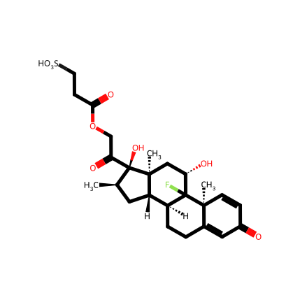 C[C@@H]1C[C@H]2[C@@H]3CCC4=CC(=O)C=C[C@]4(C)C3(F)[C@@H](O)C[C@]2(C)[C@@]1(O)C(=O)COC(=O)CCS(=O)(=O)O